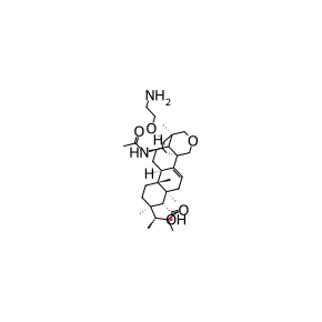 CC(=O)N[C@@H]1C[C@@]23COC[C@@](C)([C@@H]2CC[C@H]2C3=CC[C@@]3(C)[C@H](C(=O)O)[C@@](C)([C@H](C)C(C)C)CC[C@]23C)[C@H]1OCCN